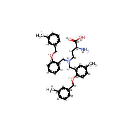 Cc1cccc(COc2ccccc2CN(CC[C@H](N)C(=O)O)Cc2cc(C)ccc2OCc2cccc(C)c2)c1